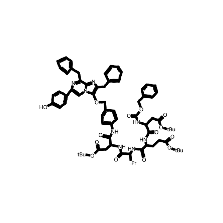 CC(C)C(NC(=O)C(CCC(=O)OC(C)(C)C)NC(=O)C(CC(=O)OC(C)(C)C)NC(=O)OCc1ccccc1)C(=O)NC(CC(=O)OC(C)(C)C)C(=O)Nc1ccc(COc2c(Cc3ccccc3)nc3c(Cc4ccccc4)nc(-c4ccc(O)cc4)cn23)cc1